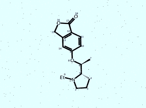 CCN1CCC[C@H]1[C@H](C)Oc1ccc2c(c1)COC2=O